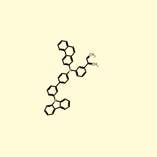 C=CC(=C)c1cccc(N(c2ccc(-c3cccc(-n4c5ccccc5c5ccccc54)c3)cc2)c2ccc3c(ccc4ccccc43)c2)c1